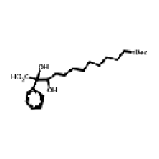 CCCCCCCCCCCCCCCCCCCC(O)C(O)(C(=O)O)c1ccccc1